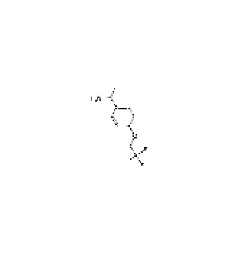 CC(N)C1=CCC(OCC(F)(F)F)C=C1